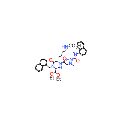 CCOC(OCC)[C@H](C)N(Cc1cccc2ccccc12)C(=O)[C@H](CCCCNC(=O)O)NC(=O)CN(C)NC(=O)N(C)c1cccc2ccccc12